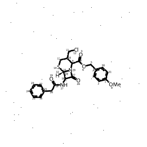 COc1ccc(COC(=O)C2C(CCl)CS[C@H]3C(NC(=O)Cc4ccccc4)C(=O)N23)cc1